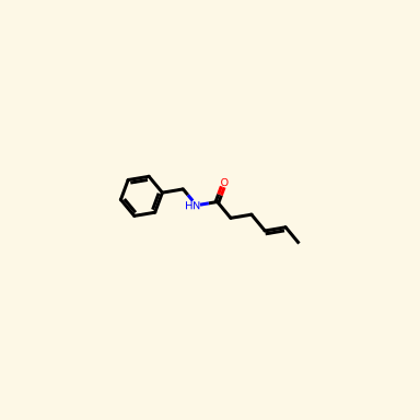 CC=CCCC(=O)NCc1ccccc1